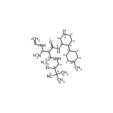 C=CNC(N)C(C(=O)NC1CNCCC1C1CCN(C)CC1)C(C)NCC(CC)C(C)(C)C#N